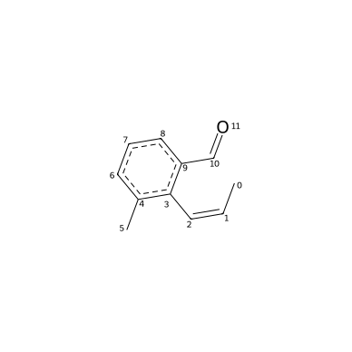 C/C=C\c1c(C)cccc1C=O